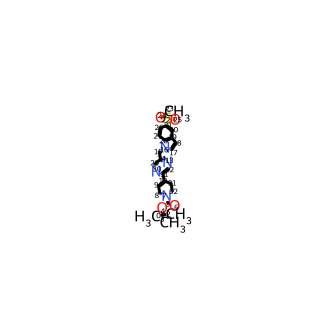 CC(C)(C)OC(=O)N1CC=C(c2cnc(Cn3ccc4cc(S(C)(=O)=O)ccc43)cn2)CC1